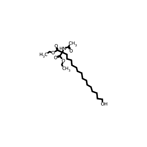 CCOC(=O)C(CCCCCCCCCCCCCCCO)(NC(C)=O)C(=O)OCC